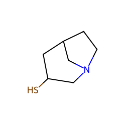 SC1CC2CCN(C1)C2